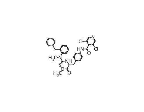 COC(=O)C(Cc1ccc(NC(=O)c2c(Cl)cncc2Cl)cc1)NC(=S)N(C)c1ccccc1Cc1ccccc1